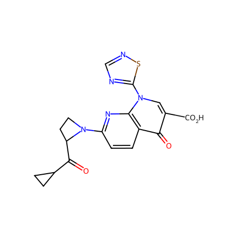 O=C(O)c1cn(-c2ncns2)c2nc(N3CCC3C(=O)C3CC3)ccc2c1=O